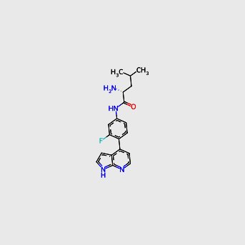 CC(C)C[C@@H](N)C(=O)Nc1ccc(-c2ccnc3[nH]ccc23)c(F)c1